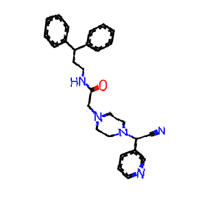 N#CC(c1cccnc1)N1CCN(CC(=O)NCCC(c2ccccc2)c2ccccc2)CC1